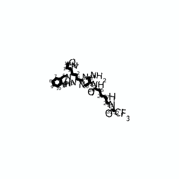 N=C(/C=C(\NCc1ccccc1F)c1ccon1)c1ncc(NC(=O)CCCCNC(=O)C(F)(F)F)c(N)n1